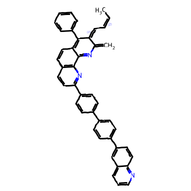 C=c1nc2c(ccc3ccc(-c4ccc(-c5ccc(-c6ccc7ncccc7c6)cc5)cc4)nc32)c(-c2ccccc2)/c1=C/C=C\C